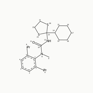 CC(C)c1cccc(C(C)C)c1N(C)C(=O)NC1(C2CCCCC2)SCCS1